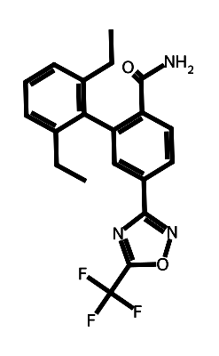 CCc1cccc(CC)c1-c1cc(-c2noc(C(F)(F)F)n2)ccc1C(N)=O